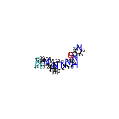 [2H]C1([2H])CCN(c2cccc(C(=O)Nc3ccncc3)n2)CCN1C1CCN([C@@H](C)C(F)(F)F)CC1